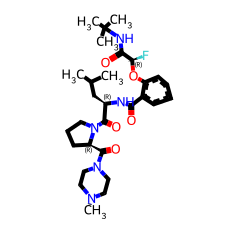 CC(C)C[C@@H](NC(=O)c1ccccc1O[C@H](F)C(=O)NC(C)(C)C)C(=O)N1CCC[C@@H]1C(=O)N1CCN(C)CC1